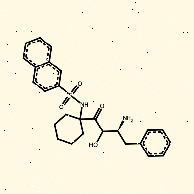 N[C@@H](Cc1ccccc1)C(O)C(=O)C1(NS(=O)(=O)c2ccc3ccccc3c2)CCCCC1